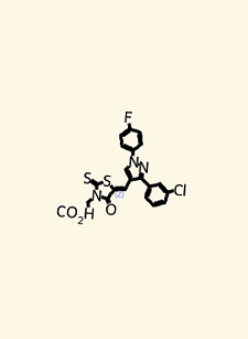 O=C(O)CN1C(=O)/C(=C/c2cn(-c3ccc(F)cc3)nc2-c2cccc(Cl)c2)SC1=S